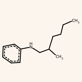 CCCCC(C)CNc1ccccc1